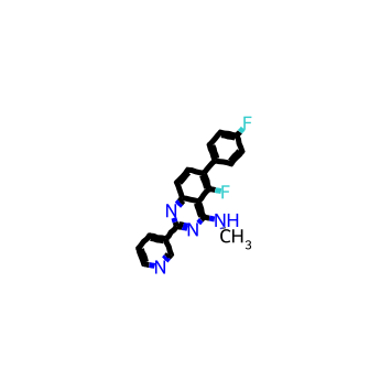 CNc1nc(-c2cccnc2)nc2ccc(-c3ccc(F)cc3)c(F)c12